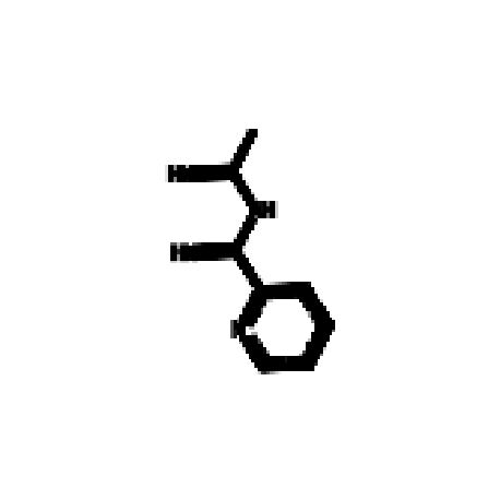 CC(=N)NC(=N)c1ccccn1